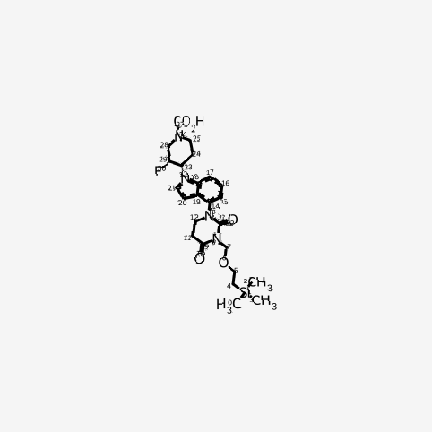 C[Si](C)(C)CCOCN1C(=O)CCN(c2cccc3c2ccn3[C@H]2CCN(C(=O)O)C[C@@H]2F)C1=O